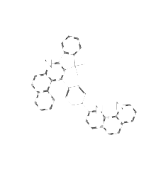 CC1(C)c2ccccc2-c2nc3ccc4ccccc4c3c(C3=CCC(c4ccc5ccc6cccnc6c5n4)C=C3)c21